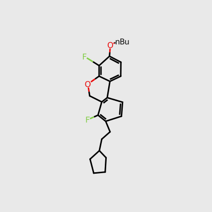 CCCCOc1ccc2c(c1F)OCc1c-2ccc(CCC2CCCC2)c1F